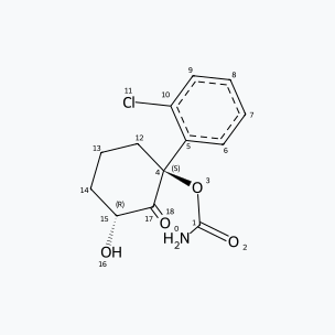 NC(=O)O[C@]1(c2ccccc2Cl)CCC[C@@H](O)C1=O